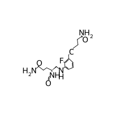 NC(=O)CCCCCc1cccc(NC[C@H](CCC(N)=O)NC=O)c1F